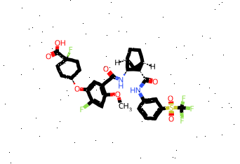 COc1cc(F)c(O[C@H]2CC[C@@](F)(C(=O)O)CC2)cc1C(=O)N[C@@H]1[C@H]2CC[C@H](C2)[C@@H]1C(=O)Nc1cccc(S(=O)(=O)C(F)(F)F)c1